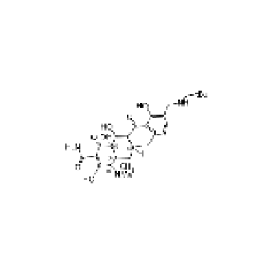 CN[C@@H]1C(O)=C(C(N)=O)C(=O)[C@@]2(O)C(O)=C3C(=O)c4c(ccc(CNCC(C)(C)C)c4O)C[C@H]3C[C@@]12C